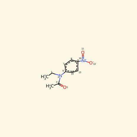 CCN(C(C)=O)c1ccc([N+](=O)[O-])cc1